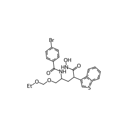 CCOCOCC(CC(C(=O)NO)c1csc2ccccc12)NC(=O)c1ccc(Br)cc1